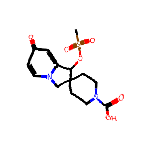 CS(=O)(=O)OC1c2cc(=O)ccn2CC12CCN(C(=O)O)CC2